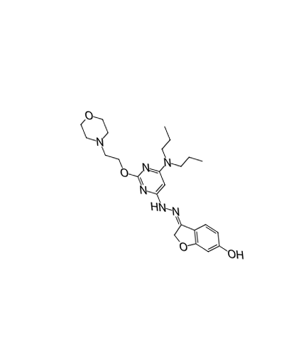 CCCN(CCC)c1cc(N/N=C2\COc3cc(O)ccc32)nc(OCCN2CCOCC2)n1